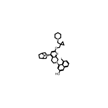 CC(=O)N1C2CCC1CN(c1cc(OCC3(CN4CCCCC4)CC3)nc3c1CCN(c1cc(O)cc4cccc(I)c14)C3)C2